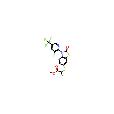 COC(=O)C(C)Sc1ccc2c(c1)sc(=O)n2-c1ncc(C(F)(F)F)cc1F